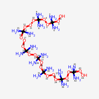 NC(N)(OO)OOC(N)(N)OOOC(N)(N)OOOC(N)(N)OOC(N)(N)OOC(N)(N)OOOC(N)(N)OOC(N)(N)OO